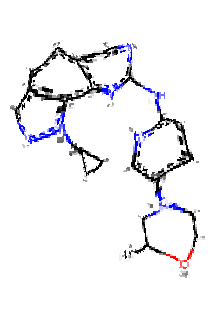 CC1CN(c2ccc(Nc3ncc4ccc5cnn(C6CC6)c5c4n3)nc2)CCO1